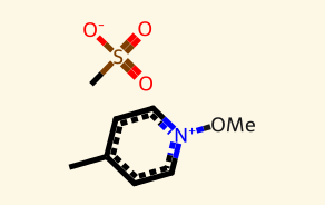 CO[n+]1ccc(C)cc1.CS(=O)(=O)[O-]